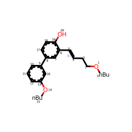 CCCCOCC/C=C/c1cc(-c2cccc(OCCCC)c2)ccc1O